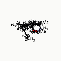 C=C(CBr)C(=O)NCCCCCC(=O)N[C@H](C(=O)N[C@@H](CCCNC(N)=O)C(=O)Nc1ccc(C(=O)N(C)[C@@H](C)C(=O)O[C@H]2CC(=O)N(C)c3cc(cc(OC)c3Cl)C/C(C)=C/C=C/[C@@H](OC)[C@@]3(O)C[C@H](OC(=O)N3)[C@@H](C)[C@@H]3O[C@@]23C)cc1C(F)(F)F)C(C)C